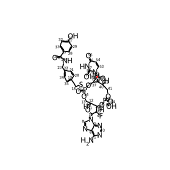 Nc1ncnc2c1ncn2[C@@H]1O[C@@H]2COP(=O)(SCc3ccc(CNC(=O)c4ccc(O)cc4)cc3)O[C@@H]3[C@H](F)[C@@H](COP(=O)(O)O[C@H]2[C@H]1F)O[C@H]3n1ccc(=O)[nH]c1=O